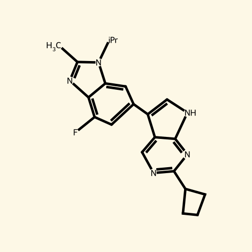 Cc1nc2c(F)cc(-c3c[nH]c4nc(C5CCC5)ncc34)cc2n1C(C)C